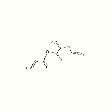 C=CCC(=C)C(=O)OC(=O)C=C